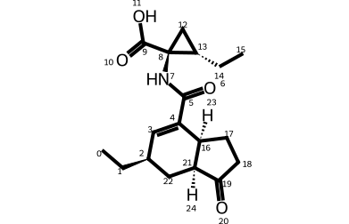 CC[C@H]1C=C(C(=O)N[C@@]2(C(=O)O)C[C@@H]2CC)[C@H]2CCC(=O)[C@H]2C1